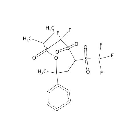 CCC(C)C(=O)OC(C)(CC(S(=O)(=O)C(F)(F)F)S(=O)(=O)C(F)(F)F)c1ccccc1